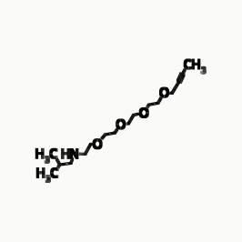 CC#CCOCCOCCOCCOCCNCC(C)C